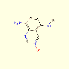 CCNc1ccc(N)c2nc[n+]([O-])cc12